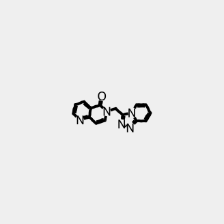 O=c1c2cccnc2ccn1Cc1nnc2ccccn12